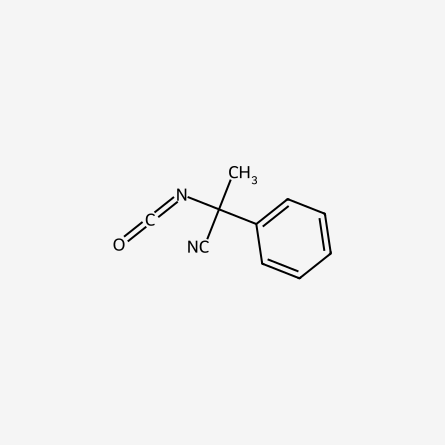 CC(C#N)(N=C=O)c1ccccc1